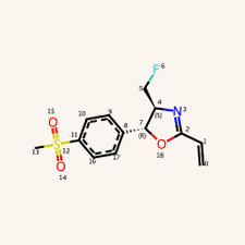 C=CC1=N[C@H](CF)[C@@H](c2ccc(S(C)(=O)=O)cc2)O1